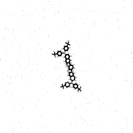 CC(C)(C)C1=CCC(N(c2ccc(C(C)(C)C)cc2)C2C=Cc3cc4c(cc3C2)oc2c4ccc3c4cc5ccc(N(c6ccc(C(C)(C)C)cc6)c6ccc(C(C)(C)C)cc6)cc5cc4oc32)C=C1